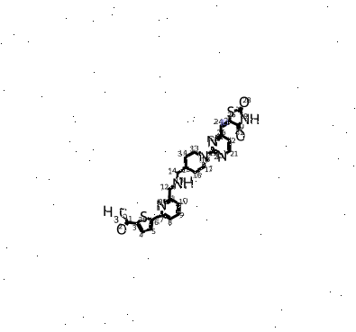 CC(=O)c1ccc(-c2cccc(CNCC3CCN(c4nccc(/C=C5/SC(=O)NC5=O)n4)CC3)n2)s1